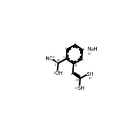 N#C[C@H](O)c1ccccc1C=C(S)S.[NaH]